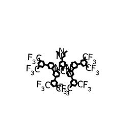 Cc1cc(-c2cc(-n3c4ccc(-c5cc(C(F)(F)F)cc(C(F)(F)F)c5)cc4c4cc(-c5cc(C(F)(F)F)cc(C(F)(F)F)c5)ccc43)c(C#N)c(-n3c4ccc(-c5cc(C(F)(F)F)cc(C(F)(F)F)c5)cc4c4cc(-c5cc(C(F)(F)F)cc(C(F)(F)F)c5)ccc43)c2)nc(C)n1